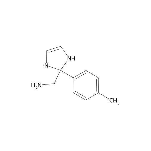 Cc1ccc(C2(CN)[N]C=CN2)cc1